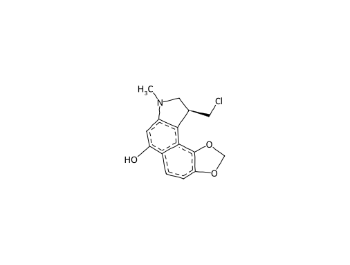 CN1C[C@@H](CCl)c2c1cc(O)c1ccc3c(c21)OCO3